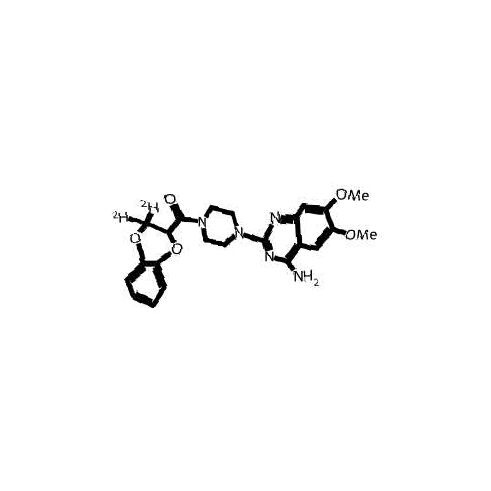 [2H]C1([2H])Oc2ccccc2OC1C(=O)N1CCN(c2nc(N)c3cc(OC)c(OC)cc3n2)CC1